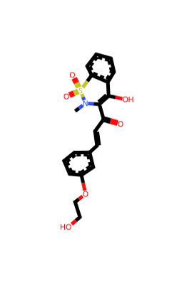 CN1C(C(=O)C=Cc2cccc(OCCO)c2)=C(O)c2ccccc2S1(=O)=O